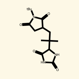 CC(C)(CC1CC(=O)N(C(C)(C)C)C1=O)C1NC(=O)NC1=O